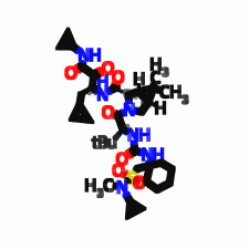 CN(C1CC1)S(=O)(=O)CC1(NC(=O)N[C@H](C(=O)N2C[C@H]3[C@@H]([C@H]2C(=O)N[C@@H](CC2CC2)C(=O)C(=O)NC2CC2)C3(C)C)C(C)(C)C)CCCCC1